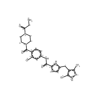 CCc1[nH]nc(C(F)(F)F)c1Cc1cnc(C(=O)Nc2ccc(C(=O)N3CCN(C(=O)CN)CC3)c(Cl)c2)[nH]1